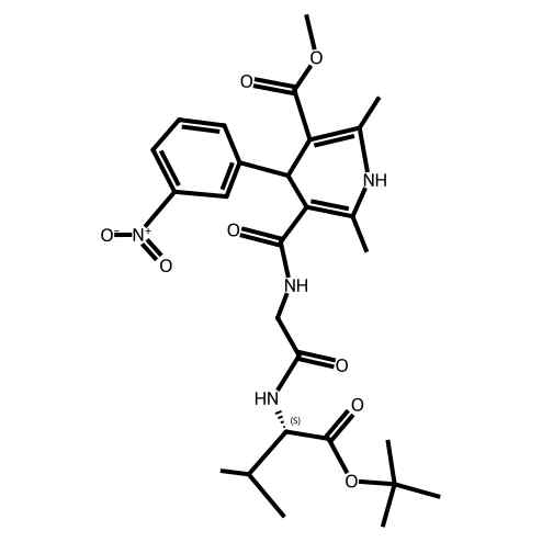 COC(=O)C1=C(C)NC(C)=C(C(=O)NCC(=O)N[C@H](C(=O)OC(C)(C)C)C(C)C)C1c1cccc([N+](=O)[O-])c1